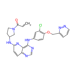 C=CC(=O)N1CCC(Nc2ccc3ncnc(Nc4ccc(OCc5cccnn5)c(Cl)c4)c3n2)C1